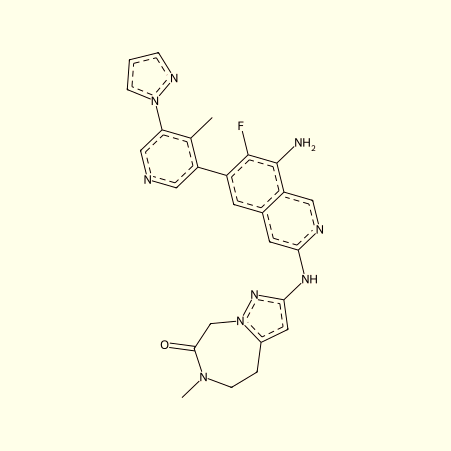 Cc1c(-c2cc3cc(Nc4cc5n(n4)CC(=O)N(C)CC5)ncc3c(N)c2F)cncc1-n1cccn1